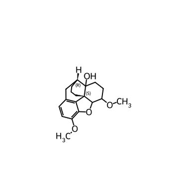 COc1ccc2c3c1OC1C(OC)CCC4(O)[C@H](CCC[C@]314)C2